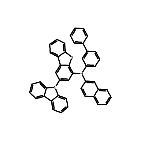 c1ccc(-c2cccc(N(c3ccc4ccccc4c3)c3cc(-n4c5ccccc5c5ccccc54)cc4c3sc3ccccc34)c2)cc1